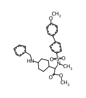 COC(=O)C(C1CCC(NCc2ccccc2)CC1)N(C)S(=O)(=O)c1ccc(-c2ccc(OC)cc2)cc1